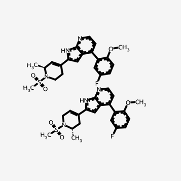 COc1ccc(F)cc1-c1ccnc2[nH]c(C3=CCN(S(C)(=O)=O)[C@@H](C)C3)cc12.COc1ccc(F)cc1-c1ccnc2[nH]c(C3=C[C@H](C)N(S(C)(=O)=O)CC3)cc12